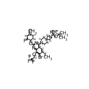 CCc1cc2c(N3CCC4(CC3)CN(C(=O)OC(C)(C)C)C4)nc(OC3CCN(C)CC3F)nc2c(OCC(F)(F)F)c1Br